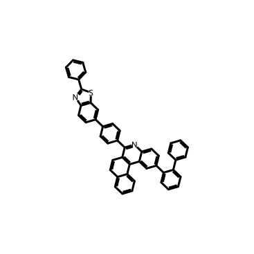 c1ccc(-c2nc3ccc(-c4ccc(-c5nc6ccc(-c7ccccc7-c7ccccc7)cc6c6c5ccc5ccccc56)cc4)cc3s2)cc1